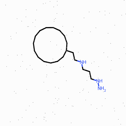 NNCCCNCCC1CCCCCCCCCCCCCC1